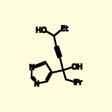 CCC(O)C#CC(O)(CC(C)C)c1cncnc1